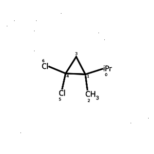 CC(C)C1(C)CC1(Cl)Cl